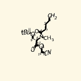 C=CCCC(=O)N(C)[C@@H](COC(C)(C)C)C(=O)OCC#N